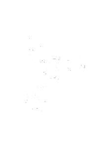 COc1ccc(C=Cc2nc(N3CCNCC3)c(N)c(N3CCN(C)CC3)n2)cc1